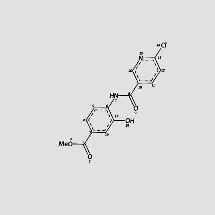 COC(=O)c1ccc(NC(=O)c2ccc(Cl)nc2)c(O)c1